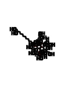 O=C(OCC(O)CO)C(CC(O)CO)C(CC(O)CO)C(CC(O)CO)C(CC(O)CO)C(CC(O)CO)C(CC(O)CO)C(CC(O)CO)C(CCCCCCCCCCCCCCC(O)CO)CC(O)CO